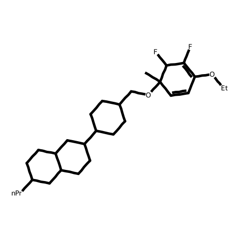 CCCC1CCC2CC(C3CCC(COC4(C)C=CC(OCC)=C(F)C4F)CC3)CCC2C1